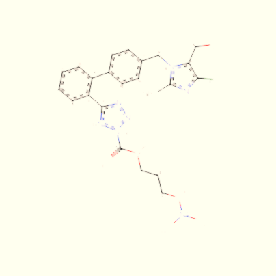 CCCCc1nc(Cl)c(CO)n1Cc1ccc(-c2ccccc2-c2nnn(C(=O)OCCCON(O)O)n2)cc1